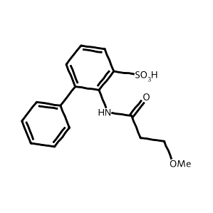 COCCC(=O)Nc1c(-c2ccccc2)cccc1S(=O)(=O)O